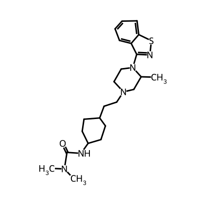 CC1CN(CCC2CCC(NC(=O)N(C)C)CC2)CCN1c1nsc2ccccc12